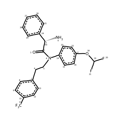 N[C@H](C(=O)N(CCc1ccc(C(F)(F)F)cc1)c1ccc(OC(F)F)cc1)c1ccccc1